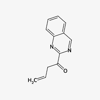 C=CCC(=O)c1ncc2ccccc2n1